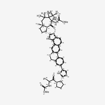 BC(B)(B)C1(B)C(B)(B)C[C@H]2CC[C@@H](c3nc4ccc5cc6c(cc5c4[nH]3)OCc3cc(-c4cnc([C@@H]5CCCN5C(=O)C(NC(=O)OC)C(C)C)[nH]4)ccc3-6)N2C(=O)[C@@]1(B)NC(=O)OC